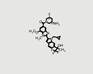 COc1cc(C(=O)N2C[C@H](N)C[C@@H](F)C2)cc2nc(-c3cc4ccc(C(C)(O)C(F)(F)F)cc4n3CC3CC3)n(C)c12